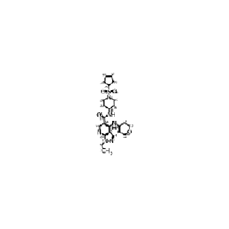 CCn1ncc2c(NC3CCOCC3)c(C(=O)NC3CCN(S(=O)(=O)C4CCCC4)CC3)cnc21